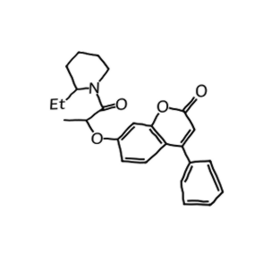 CCC1CCCCN1C(=O)C(C)Oc1ccc2c(-c3ccccc3)cc(=O)oc2c1